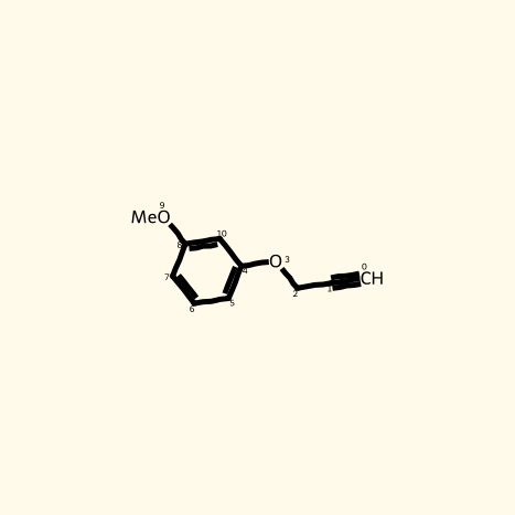 C#CCOc1cccc(OC)c1